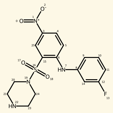 O=[N+]([O-])c1ccc(Nc2cccc(F)c2)c(S(=O)(=O)N2CCNCC2)c1